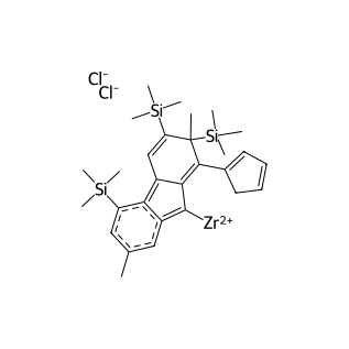 Cc1cc([Si](C)(C)C)c2c(c1)=[C]([Zr+2])C1=C(C3=CC=CC3)C(C)([Si](C)(C)C)C([Si](C)(C)C)=CC=21.[Cl-].[Cl-]